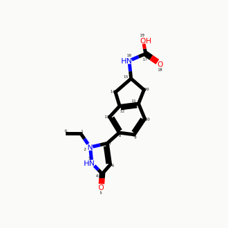 CCn1[nH]c(=O)cc1-c1ccc2c(c1)CC(NC(=O)O)C2